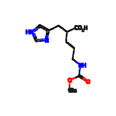 CC(C)(C)OC(=O)NCCCC(Cc1c[nH]cn1)C(=O)O